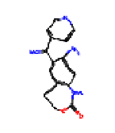 N=C(c1ccncc1)c1cc2c(cc1N)NC(=O)OCC2